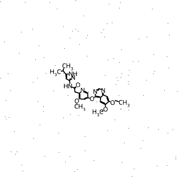 CCOc1cc2ncnc(Oc3cnc(CC(=O)Nc4cc(C(C)C)[nH]n4)c(OC)c3)c2cc1OC